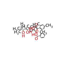 CC(C)(C)C(O)CC(O)C(C)(C)C.Cc1cc(C)c(C(=O)C(=O)O)c(C)c1.O=C(O)c1ccccc1